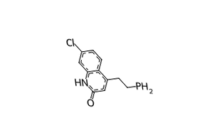 O=c1cc(CCP)c2ccc(Cl)cc2[nH]1